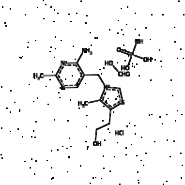 Cc1ncc(C[n+]2csc(CCO)c2C)c(N)n1.Cl.O=CO.O=P(O)(O)O